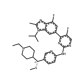 CCN1CCC([C@@H](SC)c2ccc(Nc3ncc(F)c(-c4cc(F)c5nc(C)n(C(C)C)c5c4)n3)nc2)CC1